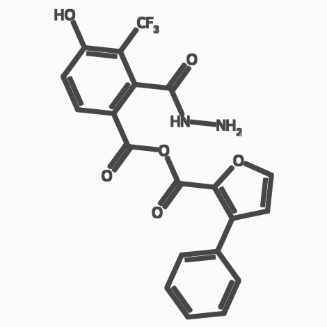 NNC(=O)c1c(C(=O)OC(=O)c2occc2-c2ccccc2)ccc(O)c1C(F)(F)F